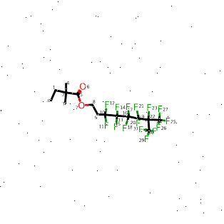 CCC(C)(C)C(=O)OCCC(F)(F)C(F)(F)C(F)(F)C(F)(F)C(F)(C(F)(F)F)C(F)(F)F